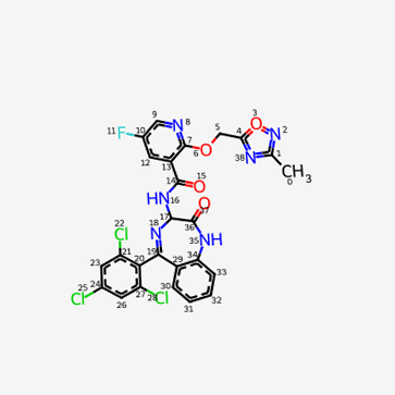 Cc1noc(COc2ncc(F)cc2C(=O)NC2N=C(c3c(Cl)cc(Cl)cc3Cl)c3ccccc3NC2=O)n1